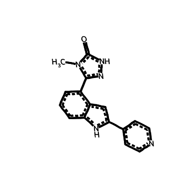 Cn1c(-c2cccc3[nH]c(-c4ccncc4)cc23)n[nH]c1=O